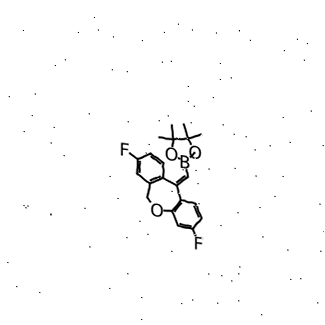 CC1(C)OB(/C=C2\c3ccc(F)cc3COc3cc(F)ccc32)OC1(C)C